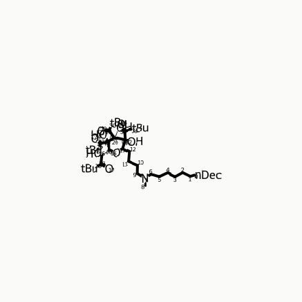 CCCCCCCCCCCCCCCCN(C)CCCCC1O[C@H](C(O)C(=O)C(C)(C)C)[C@](O)(C(=O)C(C)(C)C)[C@@](O)(C(=O)C(C)(C)C)[C@]1(O)C(=O)C(C)(C)C